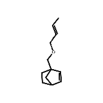 CC=CCOCC12C=CC(CC1)C2